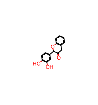 O=C1Cc2ccccc2OC1c1ccc(O)c(O)c1